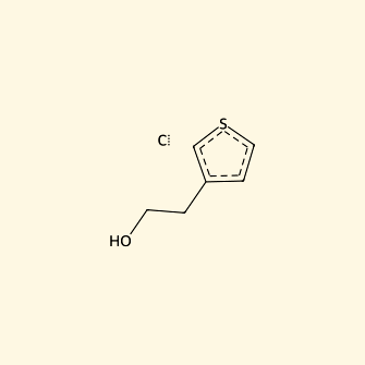 OCCc1ccsc1.[C]